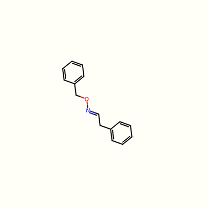 [c]1ccc(CC=NOCc2ccccc2)cc1